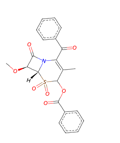 CO[C@H]1C(=O)N2C(C(=O)c3ccccc3)=C(C)C(OC(=O)c3ccccc3)S(=O)(=O)[C@H]12